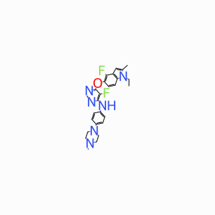 CCn1c(C)cc2c(F)c(Oc3ncnc(Nc4ccc(N5CCN(C)CC5)cc4)c3F)ccc21